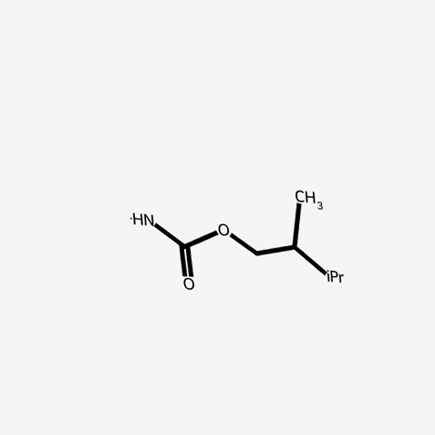 CC(C)C(C)COC([NH])=O